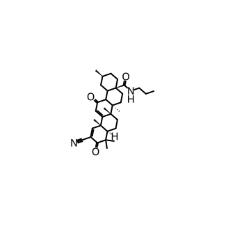 CCCNC(=O)[C@]12CC[C@H](C)CC1C1C(=O)C=C3[C@@]4(C)C=C(C#N)C(=O)C(C)(C)[C@@H]4CC[C@@]3(C)[C@]1(C)CC2